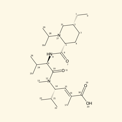 CC[C@@H]1CC[C@H](C(=O)N[C@@H](C(=O)N(C)[C@H](/C=C(\C)C(=O)O)C(C)C)C(C)C)N(C(C)C)C1